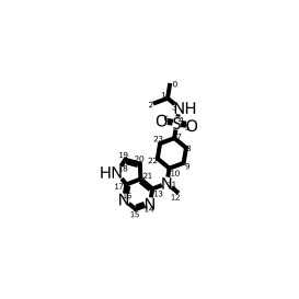 CC(C)NS(=O)(=O)C1CCC(N(C)c2ncnc3[nH]ccc23)CC1